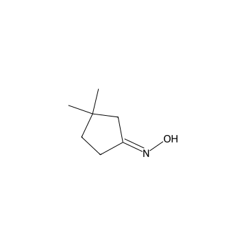 CC1(C)CC/C(=N/O)C1